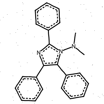 CN(C)n1c(-c2ccccc2)nc(-c2ccccc2)c1-c1ccccc1